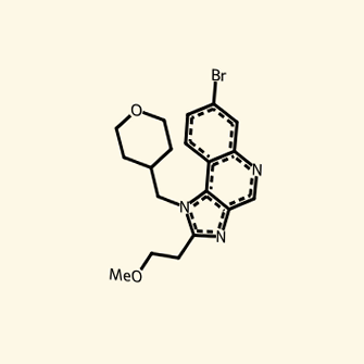 COCCc1nc2cnc3cc(Br)ccc3c2n1CC1CCOCC1